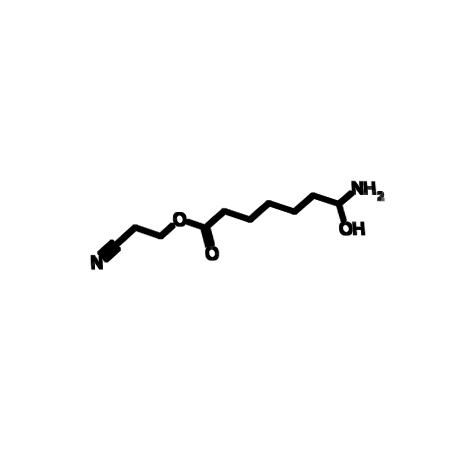 N#CCCOC(=O)CCCCCC(N)O